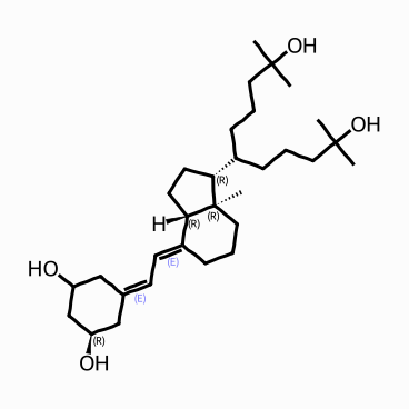 CC(C)(O)CCCC(CCCC(C)(C)O)[C@H]1CC[C@H]2/C(=C/C=C3\CC(O)C[C@H](O)C3)CCC[C@]12C